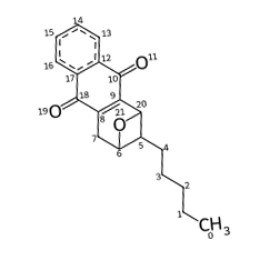 CCCCCC1C2CC3=C(C(=O)c4ccccc4C3=O)C1O2